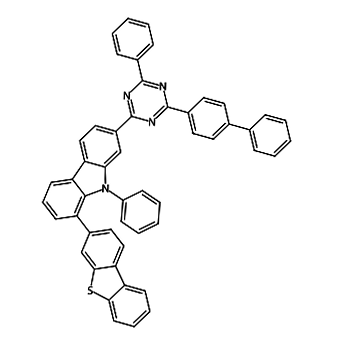 c1ccc(-c2ccc(-c3nc(-c4ccccc4)nc(-c4ccc5c6cccc(-c7ccc8c(c7)sc7ccccc78)c6n(-c6ccccc6)c5c4)n3)cc2)cc1